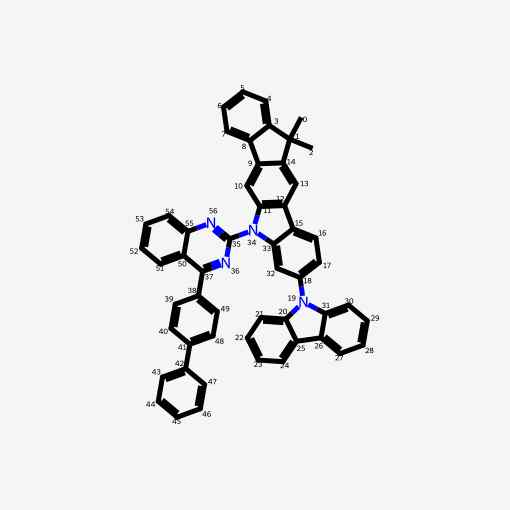 CC1(C)c2ccccc2-c2cc3c(cc21)c1ccc(-n2c4ccccc4c4ccccc42)cc1n3-c1nc(-c2ccc(-c3ccccc3)cc2)c2ccccc2n1